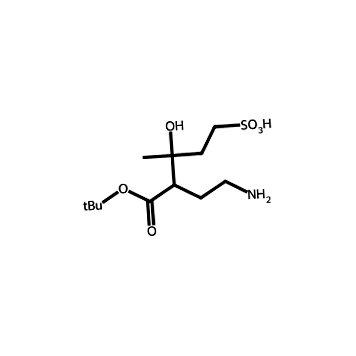 CC(C)(C)OC(=O)C(CCN)C(C)(O)CCS(=O)(=O)O